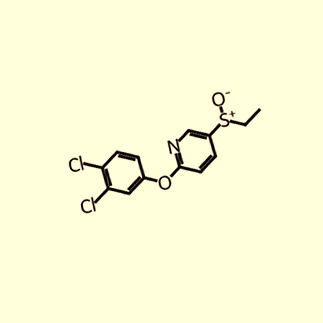 CC[S+]([O-])c1ccc(Oc2ccc(Cl)c(Cl)c2)nc1